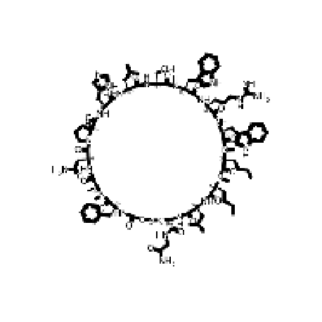 CCCC[C@H]1C(=O)N(C)[C@@H](CCCC)C(=O)N[C@@H](CC(C)C)C(=O)N[C@H](C(=O)NCC(N)=O)CSCC(=O)N[C@@H](Cc2ccccc2)C(=O)N(C)[C@@H](C)C(=O)N[C@@H](CC(N)=O)C(=O)N2CCC[C@H]2C(=O)N[C@@H](Cc2cnc[nH]2)C(=O)N[C@@H](CC(C)C)C(=O)N[C@@H](CO)C(=O)N[C@@H](Cc2c[nH]c3ccccc23)C(=O)N[C@@H](CCCNC(=N)N)C(=O)N[C@@H](Cc2c[nH]c3ccccc23)C(=O)N1C